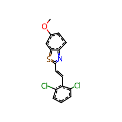 COc1ccc2nc(/C=C/c3c(Cl)cccc3Cl)sc2c1